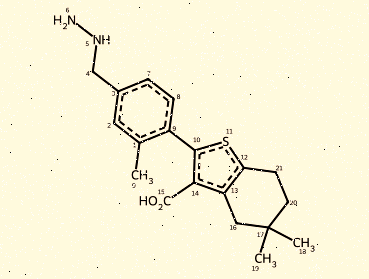 Cc1cc(CNN)ccc1-c1sc2c(c1C(=O)O)CC(C)(C)CC2